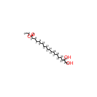 CCOC(=O)CCCCCCCCCCCCCCCCCC(O)CO